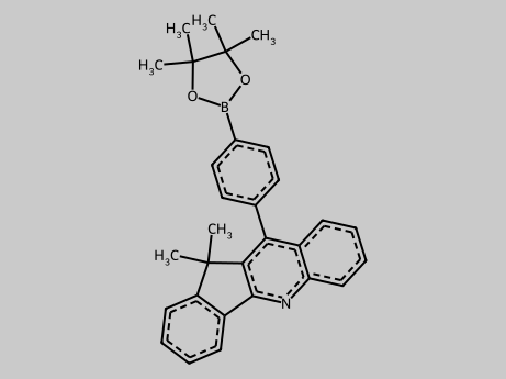 CC1(C)c2ccccc2-c2nc3ccccc3c(-c3ccc(B4OC(C)(C)C(C)(C)O4)cc3)c21